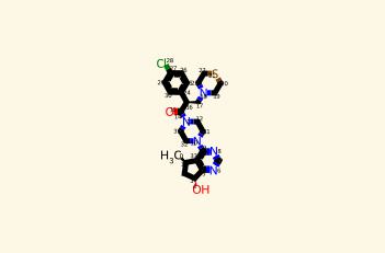 C[C@@H]1C[C@@H](O)c2ncnc(N3CCN(C(=O)[C@H](CN4CCSCC4)c4ccc(Cl)cc4)CC3)c21